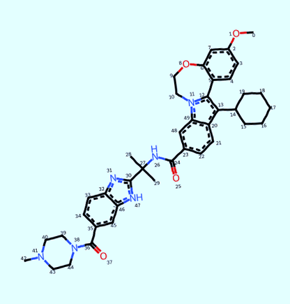 COc1ccc2c(c1)OCCn1c-2c(C2CCCCC2)c2ccc(C(=O)NC(C)(C)c3nc4ccc(C(=O)N5CCN(C)CC5)cc4[nH]3)cc21